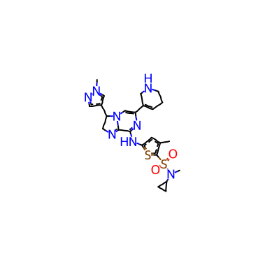 Cc1cc(NC2=NC(C3=CCCNC3)=CN3C2=NCC3c2cnn(C)c2)sc1S(=O)(=O)N(C)C1CC1